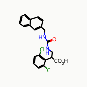 O=C(NCc1ccc2ccccc2c1)NCC(C(=O)O)c1c(Cl)cccc1Cl